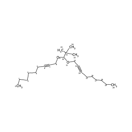 CCCCCCC#CCOC(OCC#CCCCCCC)C(C)(C)C